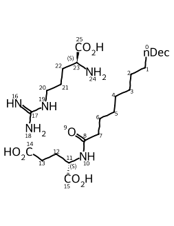 CCCCCCCCCCCCCCCCCC(=O)N[C@@H](CCC(=O)O)C(=O)O.N=C(N)NCCC[C@H](N)C(=O)O